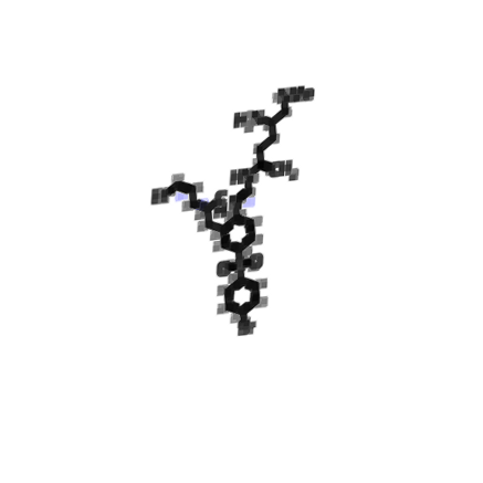 C=C(CCC(N)CNC)N/C=N/c1ccc(S(=O)(=O)c2ccc(Br)cc2)cc1C/C(C)=C/C=C\CC